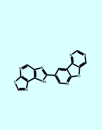 c1ncc2oc3ncc(-c4nc5cnc6scnc6c5[nH]4)cc3c2n1